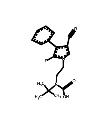 CC(C)(C)N(CCn1cc(C#N)c(-c2ccccc2)c1F)C(=O)O